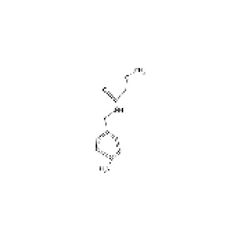 COCC(=O)NCc1ccc(N)cc1